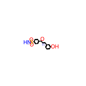 CNS(=O)(=O)c1ccc(C(=O)/C=C/c2cccc(O)c2)cc1